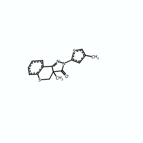 Cc1csc(N2N=C3c4ccccc4SCC3(C)C2=O)c1